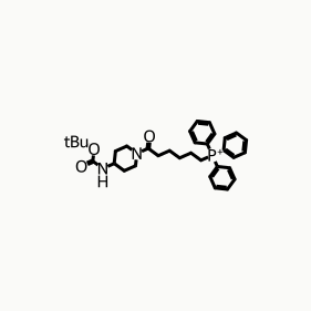 CC(C)(C)OC(=O)NC1CCN(C(=O)CCCCC[P+](c2ccccc2)(c2ccccc2)c2ccccc2)CC1